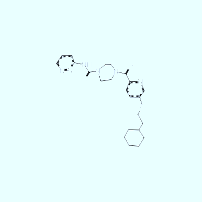 O=C(Nc1cccnn1)N1CCN(C(=O)c2ccc(OCCC3CCCCC3)cn2)CC1